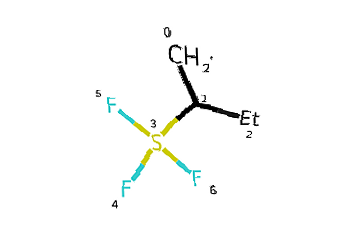 [CH2]C(CC)S(F)(F)F